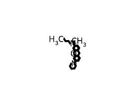 CCCCCN(C)c1ccc2c(c1)Oc1cc(N3CCCCC3)ccc1C2